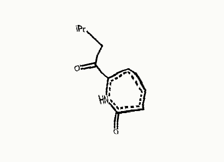 CC(C)CC(=O)c1cccc(=O)[nH]1